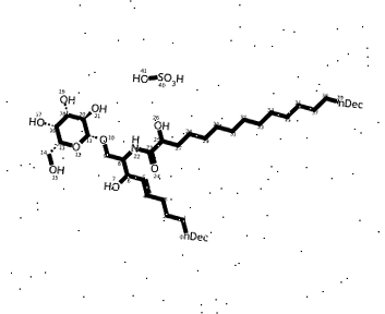 CCCCCCCCCCCCC/C=C/C(O)C(CO[C@@H]1O[C@H](CO)[C@H](O)[C@H](O)[C@H]1O)NC(=O)C(O)CCCCCCCCCCCCCCCCCCCCCC.O=S(=O)(O)O